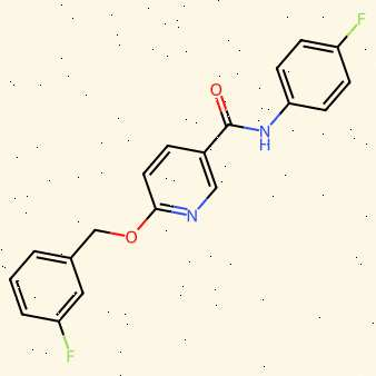 O=C(Nc1ccc(F)cc1)c1ccc(OCc2cccc(F)c2)nc1